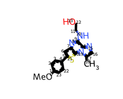 COc1ccc(-c2cc3nc(NCCO)c4ncc(C)n4c3s2)cc1